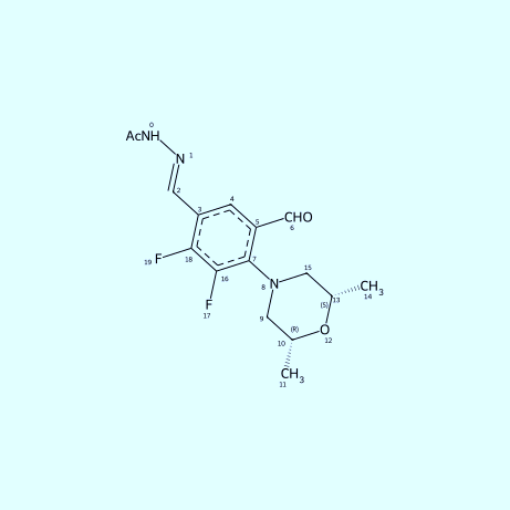 CC(=O)NN=Cc1cc(C=O)c(N2C[C@@H](C)O[C@@H](C)C2)c(F)c1F